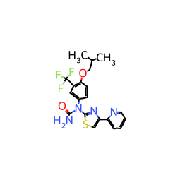 CC(C)COc1ccc(N(C(N)=O)c2nc(-c3ccccn3)cs2)cc1C(F)(F)F